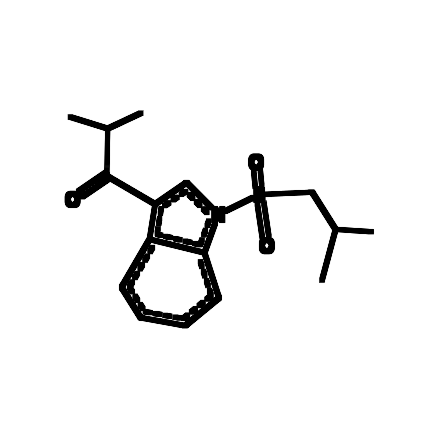 CC(C)CS(=O)(=O)n1cc(C(=O)C(C)C)c2ccccc21